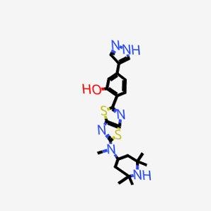 CN(c1nc2sc(-c3ccc(-c4cn[nH]c4)cc3O)nc2s1)C1CC(C)(C)NC(C)(C)C1